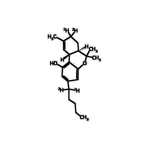 [2H]C1([2H])C[C@@H]2[C@@H](C=C1C)c1c(O)cc(C([2H])([2H])CCCC)cc1OC2(C)C